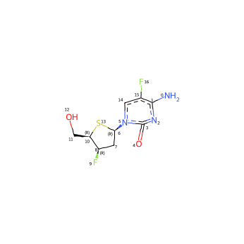 Nc1nc(=O)n([C@H]2C[C@@H](F)[C@@H](CO)S2)cc1F